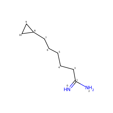 N=C(N)CCCCCC1CC1